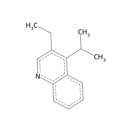 CCc1cnc2ccccc2c1C(C)C